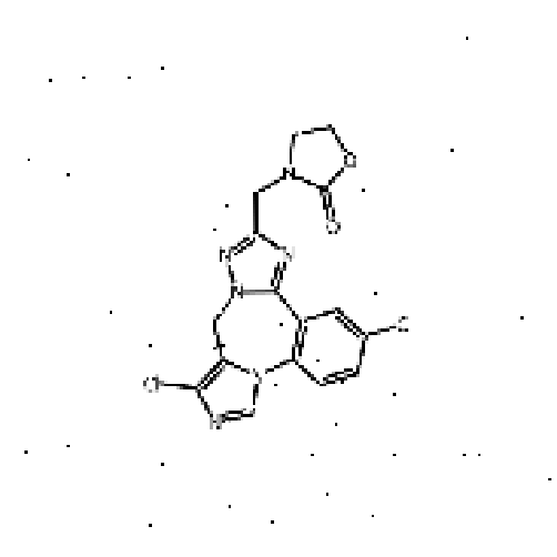 O=C1OCCN1Cc1nc2n(n1)Cc1c(Cl)ncn1-c1ccc(Cl)cc1-2